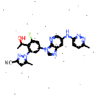 Cc1ccc(Nc2cnc3c(c2)ncn3-c2cc(F)c(C(C)O)c(-n3nc(C#N)cc3C)c2)nn1